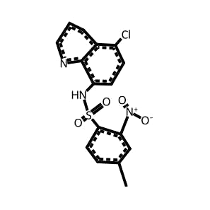 Cc1ccc(S(=O)(=O)Nc2ccc(Cl)c3cccnc23)c([N+](=O)[O-])c1